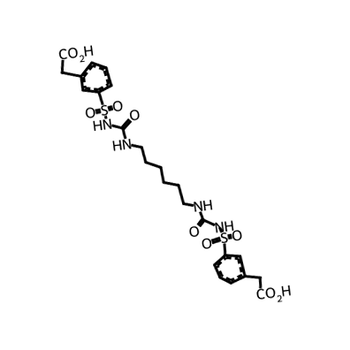 O=C(O)Cc1cccc(S(=O)(=O)NC(=O)NCCCCCCNC(=O)NS(=O)(=O)c2cccc(CC(=O)O)c2)c1